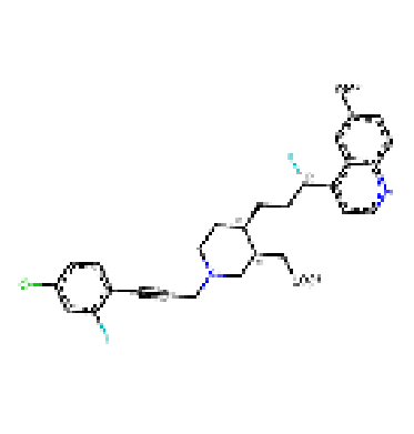 COc1ccc2nccc([C@@H](F)CC[C@@H]3CCN(CC#Cc4ccc(Cl)cc4F)C[C@@H]3CC(=O)O)c2c1